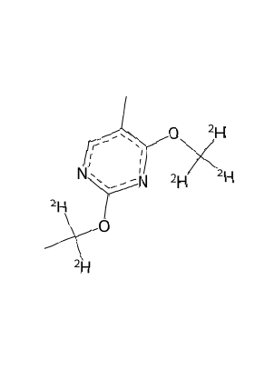 [2H]C([2H])([2H])Oc1nc(OC([2H])([2H])C)ncc1C